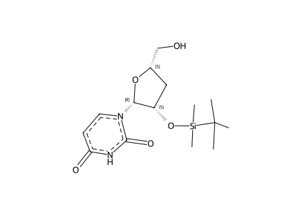 CC(C)(C)[Si](C)(C)O[C@H]1C[C@@H](CO)O[C@H]1n1ccc(=O)[nH]c1=O